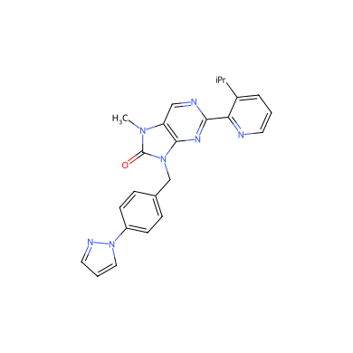 CC(C)c1cccnc1-c1ncc2c(n1)n(Cc1ccc(-n3cccn3)cc1)c(=O)n2C